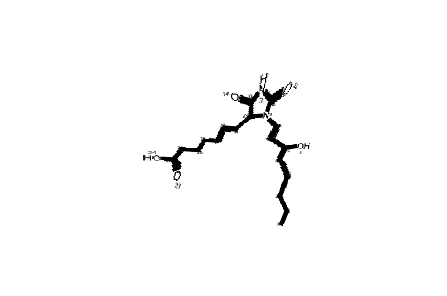 CCCCCC(O)CCN1C(=O)NC(=O)C1CC=CCCCC(=O)O